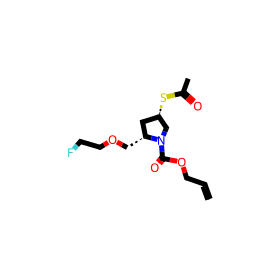 C=CCOC(=O)N1C[C@@H](SC(C)=O)C[C@H]1COCCF